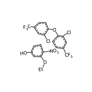 CCOc1cc(O)ccc1[N+](=O)[O-].FC(F)(F)c1ccc(Oc2ccc(C(F)(F)F)cc2Cl)c(Cl)c1